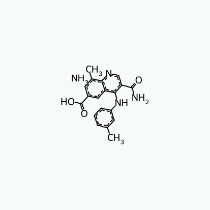 Cc1cccc(Nc2c(C(N)=O)cnc3c(C)cc(C(=O)O)cc23)c1.N